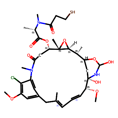 COc1cc2cc(c1Cl)N(C)C(=O)C[C@H](OC(=O)[C@H](C)N(C)C(=O)CCS)[C@]1(C)O[C@H]1[C@H](C)[C@@H]1C[C@@](O)(NC(O)O1)[C@H](OC)/C=C/C=C(\C)C2